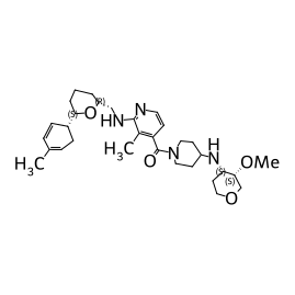 CO[C@@H]1COCC[C@@H]1NC1CCN(C(=O)c2ccnc(NC[C@H]3CCC[C@@H](C4C=CC(C)=CC4)O3)c2C)CC1